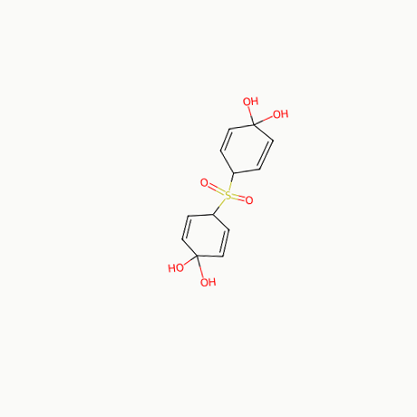 O=S(=O)(C1C=CC(O)(O)C=C1)C1C=CC(O)(O)C=C1